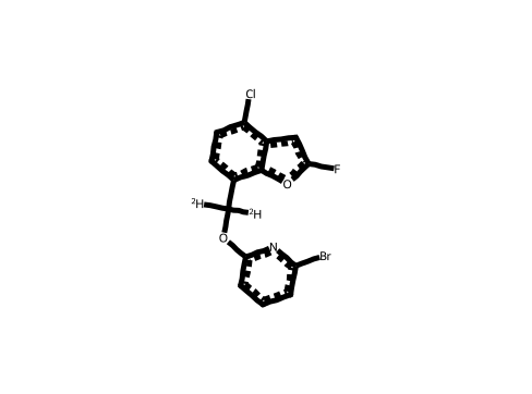 [2H]C([2H])(Oc1cccc(Br)n1)c1ccc(Cl)c2cc(F)oc12